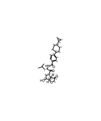 CC(C)C[C@H](NC(=O)c1ccc(C2CCN(C3CC3)CC2)cc1)C(=O)N1C[C@H](O)[C@H]2OCC(=O)[C@H]21